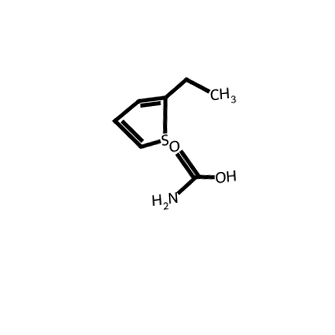 CCc1cccs1.NC(=O)O